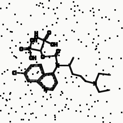 CCN(CC)CCCC(C)N(C(=O)OC(P(=O)(O)O)P(=O)(O)O)c1ccnc2cc(Cl)ccc12